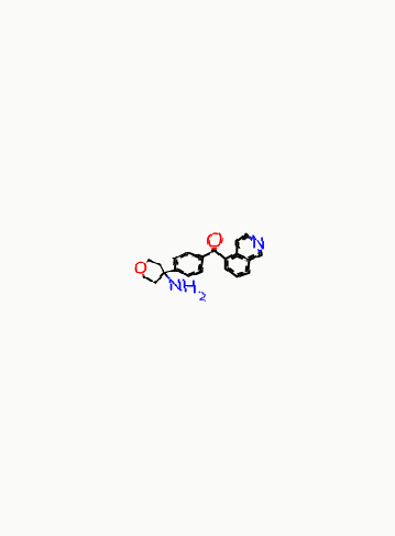 NC1(c2ccc(C(=O)c3cccc4cnccc34)cc2)CCOCC1